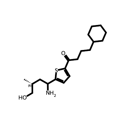 C[C@@H](CO)CC(N)c1ccc(C(=O)CCCC2CCCCC2)s1